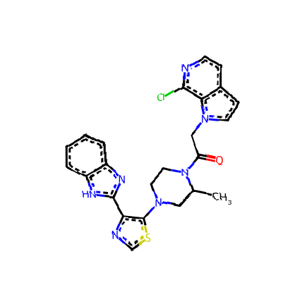 CC1CN(c2scnc2-c2nc3ccccc3[nH]2)CCN1C(=O)Cn1ccc2ccnc(Cl)c21